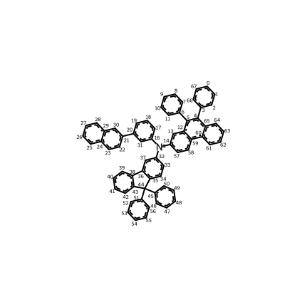 c1ccc(-c2c(-c3ccccc3)c3cc(N(c4cccc(-c5ccc6ccccc6c5)c4)c4ccc5c(c4)-c4ccccc4C5(c4ccccc4)c4ccccc4)ccc3c3ccccc23)cc1